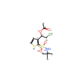 CC(=O)OC(CCl)c1ccsc1S(=O)(=O)NC(C)(C)C